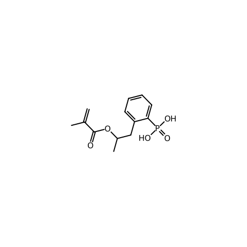 C=C(C)C(=O)OC(C)Cc1ccccc1P(=O)(O)O